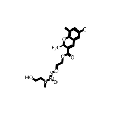 Cc1cc(Cl)cc2c1O[C@H](C(F)(F)F)C(C(=O)OCCO/N=[N+](\[O-])N(C)CCO)=C2